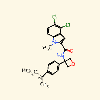 C[C@H](C(=O)O)c1ccc(C2(NC(=O)c3cc4c(Cl)c(Cl)ccc4n3C)COC2)cc1